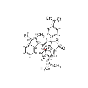 CCN(CC)c1ccc(C2(/C=C(\c3ccc(N(C)C)cc3)c3c(C)n(CC)c4ccccc34)OC(=O)c3ccccc32)cc1